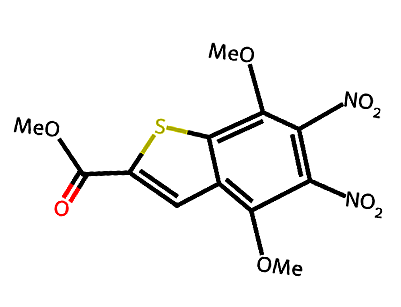 COC(=O)c1cc2c(OC)c([N+](=O)[O-])c([N+](=O)[O-])c(OC)c2s1